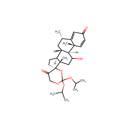 CC(C)OC1(OC(C)C)OCC(=O)[C@]2(CC[C@H]3[C@@H]4C[C@H](C)C5=CC(=O)C=C[C@]5(C)[C@H]4C(O)C[C@@]32C)O1